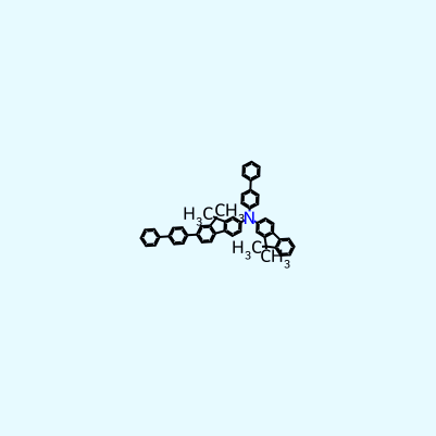 CC1(C)c2ccccc2-c2ccc(N(c3ccc(-c4ccccc4)cc3)c3ccc4c(c3)C(C)(C)c3cc(-c5ccc(-c6ccccc6)cc5)ccc3-4)cc21